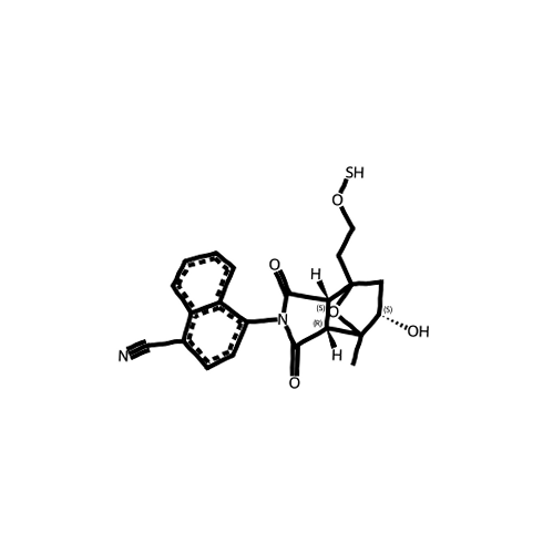 CC12OC(CCOS)(C[C@@H]1O)[C@H]1C(=O)N(c3ccc(C#N)c4ccccc34)C(=O)[C@H]12